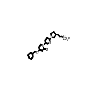 O=C(O)NCC[C@@H]1CCN(c2ccc(-n3ccc(OCc4ccccc4)cc3=O)cn2)C1